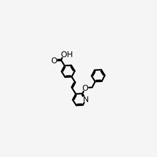 O=C(O)c1ccc(C=Cc2cccnc2OCc2ccccc2)cc1